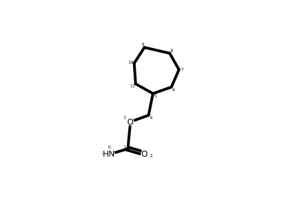 [NH]C(=O)OCC1CCCCCC1